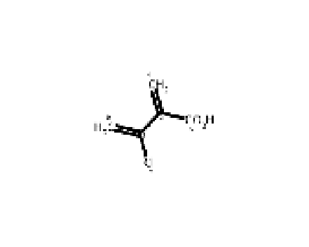 C=C(Cl)C(=C)C(=O)O